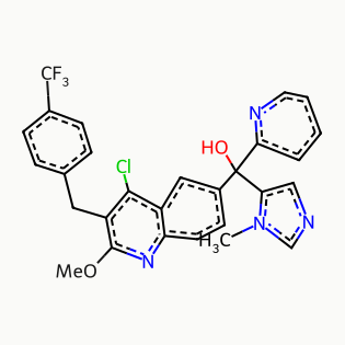 COc1nc2ccc(C(O)(c3ccccn3)c3cncn3C)cc2c(Cl)c1Cc1ccc(C(F)(F)F)cc1